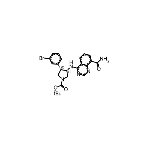 CC(C)(C)OC(=O)N1C[C@H](Nc2ncnc3c(C(N)=O)cccc23)[C@@H](c2cccc(Br)c2)C1